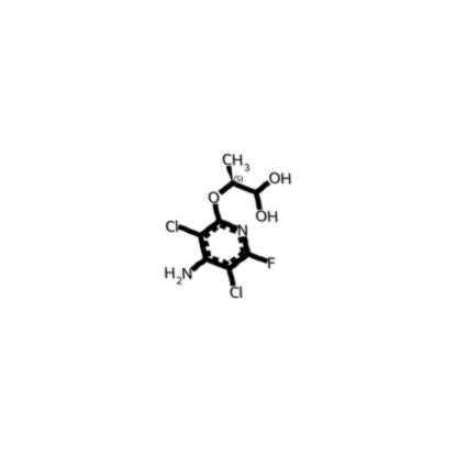 C[C@H](Oc1nc(F)c(Cl)c(N)c1Cl)C(O)O